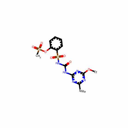 CCOc1nc(NC)nc(NC(=O)NS(=O)(=O)c2ccccc2OS(C)(=O)=O)n1